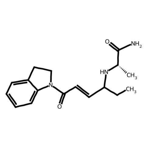 CCC(C=CC(=O)N1CCc2ccccc21)N[C@@H](C)C(N)=O